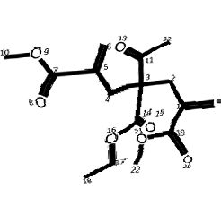 C=C(CC(CC(=C)C(=O)OC)(C(C)=O)C(=O)OCC)C(=O)OC